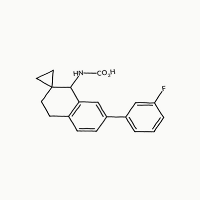 O=C(O)NC1c2cc(-c3cccc(F)c3)ccc2CCC12CC2